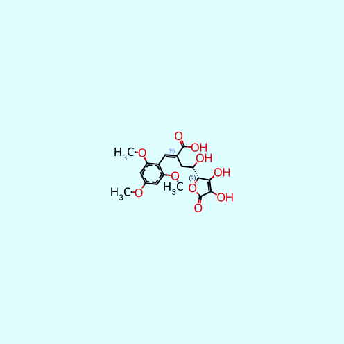 COc1cc(OC)c(/C=C(\CC(O)[C@H]2OC(=O)C(O)=C2O)C(=O)O)c(OC)c1